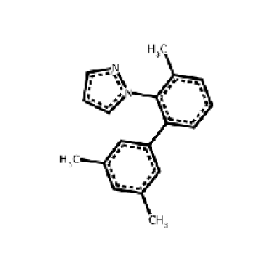 Cc1cc(C)cc(-c2cccc(C)c2-n2cccn2)c1